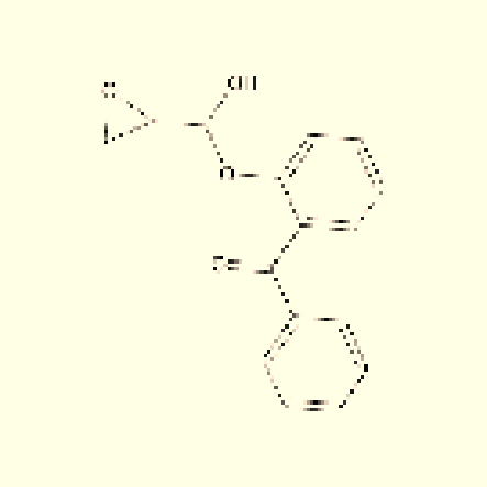 O=C(c1ccccc1)c1ccccc1OC(O)C1CO1